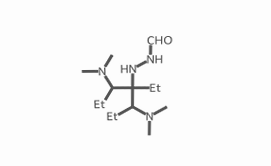 CCC(N(C)C)C(CC)(NNC=O)C(CC)N(C)C